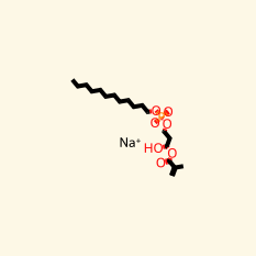 C=C(C)C(=O)OC(O)CCOP(=O)([O-])OCCCCCCCCCCCC.[Na+]